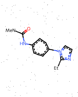 CCc1nccn1-c1ccc(NC(=O)NC)cc1